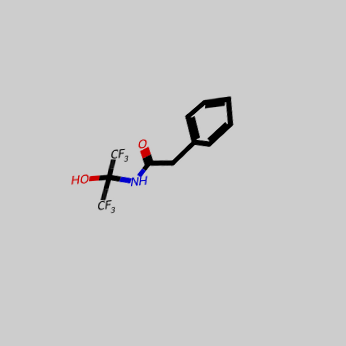 O=C(Cc1ccccc1)NC(O)(C(F)(F)F)C(F)(F)F